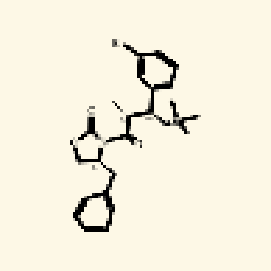 C[C@@H](C(=O)N1C(=O)OC[C@@H]1Cc1ccccc1)[C@H](C[Si](C)(C)C)c1cccc(Br)c1